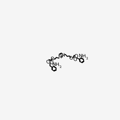 Nc1ccccc1CC1OC=C(OCCC[n+]2ccn(CCCOC3=COC(c4ccccc4N)O3)c2)O1